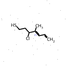 C=C/C=C(\C)C(Cl)CCS